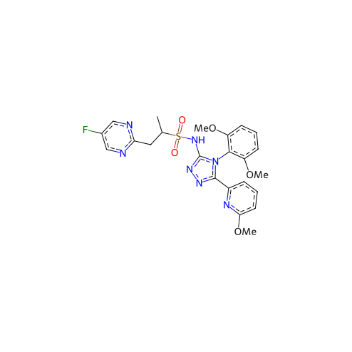 COc1cccc(-c2nnc(NS(=O)(=O)C(C)Cc3ncc(F)cn3)n2-c2c(OC)cccc2OC)n1